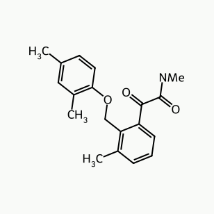 CNC(=O)C(=O)c1cccc(C)c1COc1ccc(C)cc1C